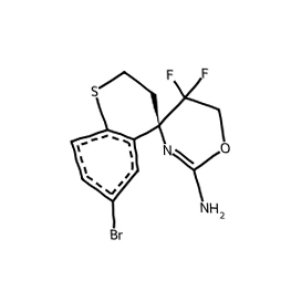 NC1=N[C@@]2(CCSc3ccc(Br)cc32)C(F)(F)CO1